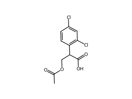 CC(=O)OCC(C(=O)O)c1ccc(Cl)cc1Cl